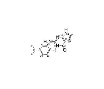 CC(C)c1ccc(Cn2c(N)nc3[nH]cnc3c2=O)cc1